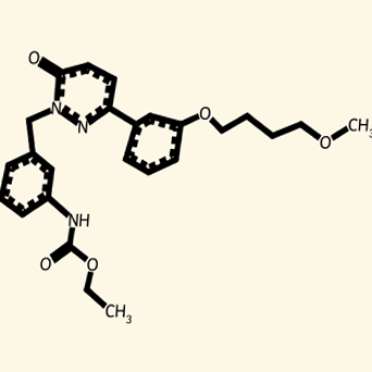 CCOC(=O)Nc1cccc(Cn2nc(-c3cccc(OCCCCOC)c3)ccc2=O)c1